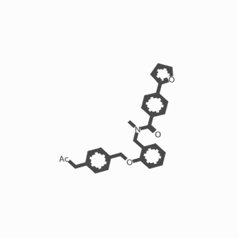 CC(=O)Cc1ccc(COc2ccccc2CN(C)C(=O)c2ccc(-c3ccco3)cc2)cc1